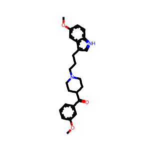 COc1cccc(C(=O)C2CCN(CCCc3c[nH]c4ccc(OC)cc34)CC2)c1